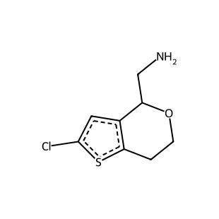 NCC1OCCc2sc(Cl)cc21